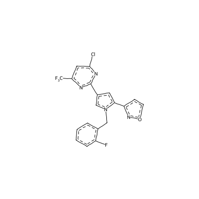 Fc1ccccc1Cn1cc(-c2nc(Cl)cc(C(F)(F)F)n2)cc1-c1ccon1